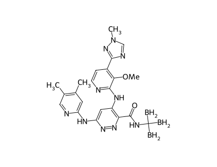 BC(B)(B)NC(=O)c1nnc(Nc2cc(C)c(C)cn2)cc1Nc1nccc(-c2ncn(C)n2)c1OC